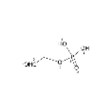 O=[C]COP(=O)(O)O